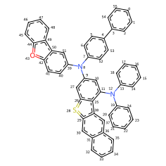 c1ccc(-c2ccc(N(c3cc(N(c4ccccc4)c4ccccc4)c4c(c3)sc3cc5ccccc5cc34)c3ccc4oc5ccccc5c4c3)cc2)cc1